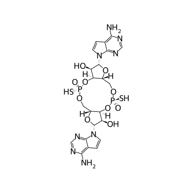 Nc1ncnc2c1ccn2[C@@H]1O[C@@H]2CO[P@@](=O)(S)O[C@H]3[C@@H](O)[C@H](n4ccc5c(N)ncnc54)O[C@@H]3CO[P@](=O)(S)O[C@H]2[C@H]1O